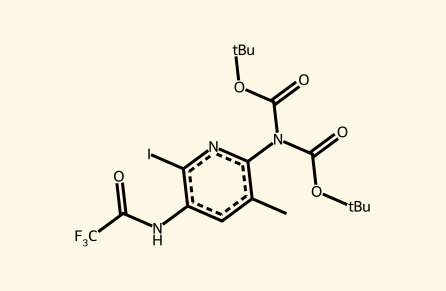 Cc1cc(NC(=O)C(F)(F)F)c(I)nc1N(C(=O)OC(C)(C)C)C(=O)OC(C)(C)C